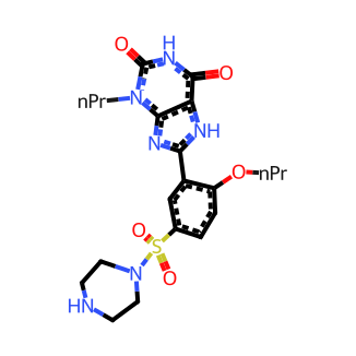 CCCOc1ccc(S(=O)(=O)N2CCNCC2)cc1-c1nc2c([nH]1)c(=O)[nH]c(=O)n2CCC